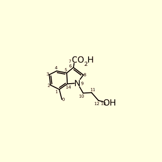 Cc1cccc2c(C(=O)O)cn(CCCO)c12